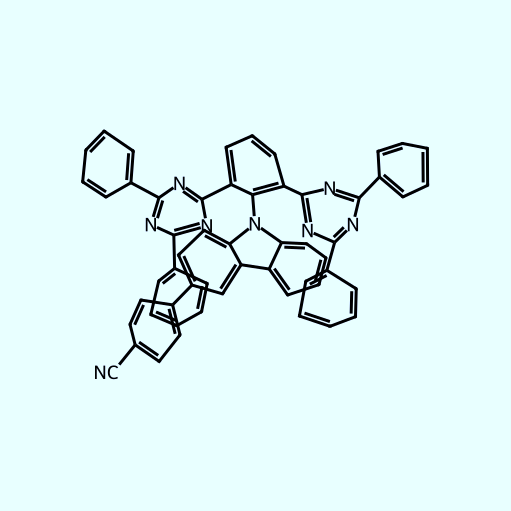 N#Cc1ccc(-c2ccc3c(c2)c2ccccc2n3-c2c(-c3nc(-c4ccccc4)nc(-c4ccccc4)n3)cccc2-c2nc(-c3ccccc3)nc(-c3ccccc3)n2)cc1